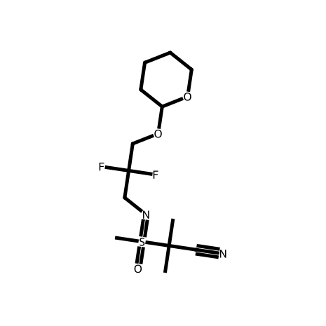 CC(C)(C#N)S(C)(=O)=NCC(F)(F)COC1CCCCO1